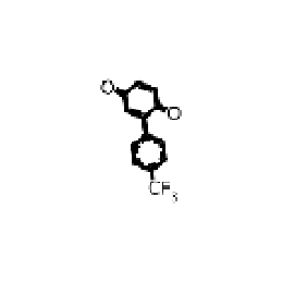 O=C1C=CC(=O)C(c2ccc(C(F)(F)F)cc2)=C1